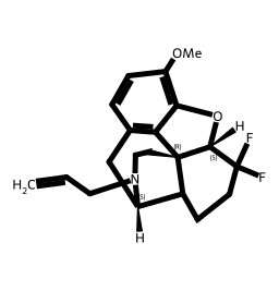 C=CCN1CC[C@@]23c4c5ccc(OC)c4O[C@@H]2C(F)(F)CCC3[C@@H]1C5